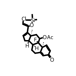 CC(=O)OC1C[C@]2(C)C(C(=CCl)O[Si](C)(C)C)=CC[C@H]2[C@@H]2CCC3=CC(=O)C=C[C@]3(C)[C@@]12F